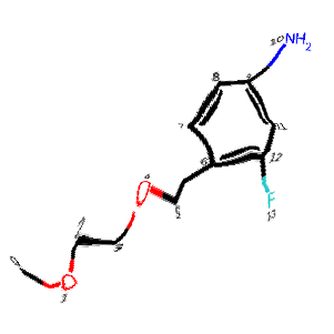 COCCOCc1ccc(N)cc1F